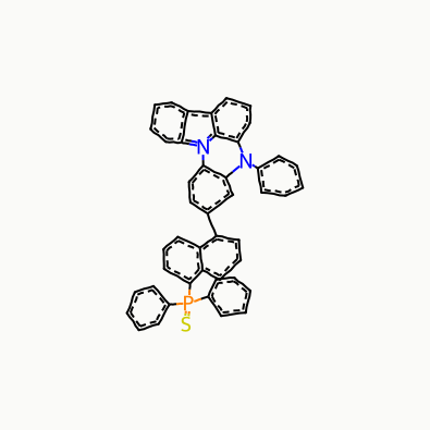 S=P(c1ccccc1)(c1ccccc1)c1cccc2c(-c3ccc4c(c3)N(c3ccccc3)c3cccc5c6ccccc6n-4c35)cccc12